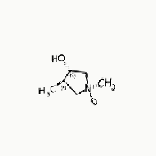 C[C@@H]1C[N+](C)([O-])C[C@H]1O